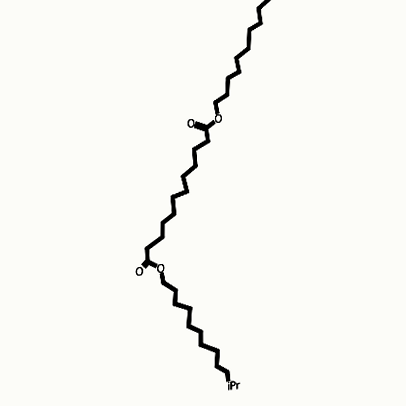 CC(C)CCCCCCCCCCOC(=O)CCCCCCCCCCC(=O)OCCCCCCCCCCC(C)C